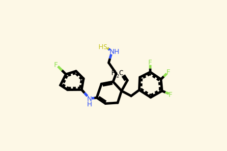 C=CC1(Cc2cc(F)c(F)c(F)c2)CC=C(Nc2ccc(F)cc2)C=C1CCNS